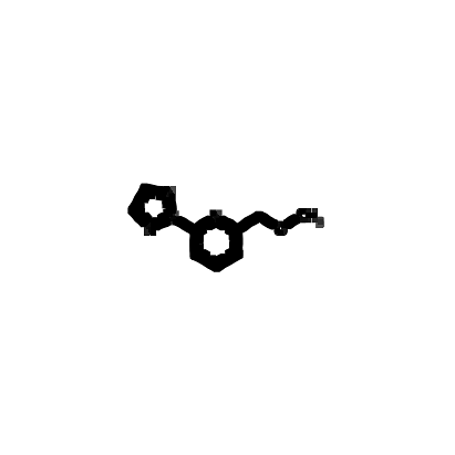 COCc1cccc(-n2nccn2)n1